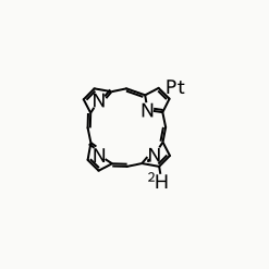 [2H]C1=CC2=CC3=NC(=CC4=NC(=CC5=NC(=CC1=N2)C=C5)C=C4)C=C3.[Pt]